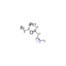 C/C=C\CC(CC(C)C)OCCF